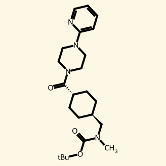 CN(C[C@H]1CC[C@H](C(=O)N2CCN(c3ccccn3)CC2)CC1)C(=O)OC(C)(C)C